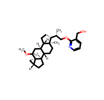 COC1C[C@H]2[C@@H]3CC[C@H]([C@H](C)COc4ncccc4CO)[C@@]3(C)CC[C@@H]2[C@@]2(C)CC[C@@H]3C[C@@]132